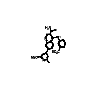 COc1cc(-c2ccc3c(Nc4cccc(C(=O)O)c4)c(C(N)=O)cnc3c2)cc(C)n1